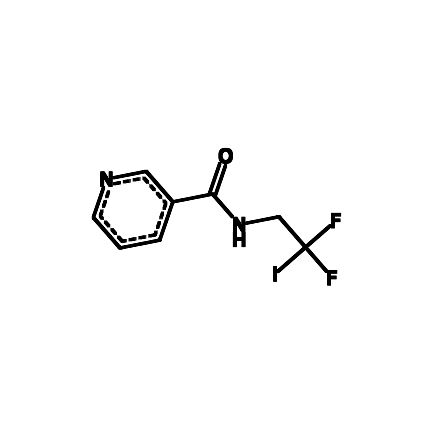 O=C(NCC(F)(F)I)c1cccnc1